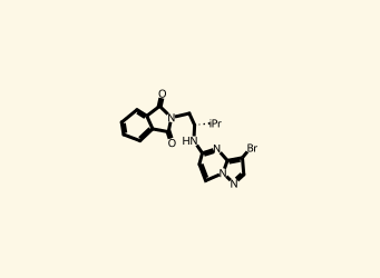 CC(C)[C@@H](CN1C(=O)c2ccccc2C1=O)Nc1ccn2ncc(Br)c2n1